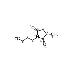 CC1CC(=O)N(CCCCl)C1=O